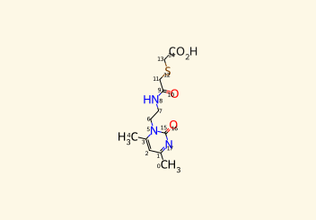 Cc1cc(C)n(CCNC(=O)CSCC(=O)O)c(=O)n1